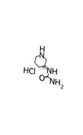 Cl.NC(=O)N[C@@H]1CCCNC1